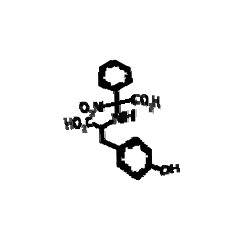 O=C(O)C(Cc1ccc(O)cc1)NC(C(=O)O)(c1ccccc1)[N+](=O)[O-]